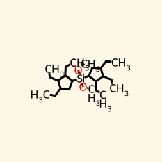 CCC1CC([Si](OC)(OC)C2CC(CC)C(CC)C2CC)C(CC)C1CC